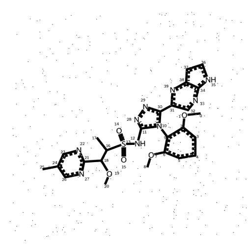 COc1cccc(OC)c1-n1c(NS(=O)(=O)C(C)C(OC)c2ncc(C)cn2)nnc1-c1cnc2[nH]ccc2n1